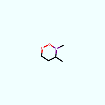 CC1CCOOP1C